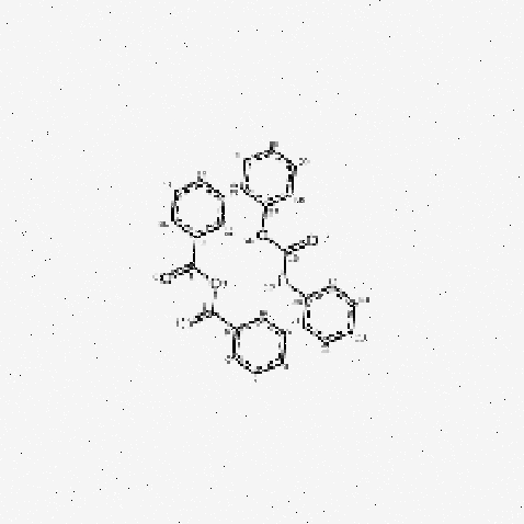 O=C(OC(=O)c1ccccc1)c1ccccc1.O=C(Oc1ccccc1)Oc1ccccc1